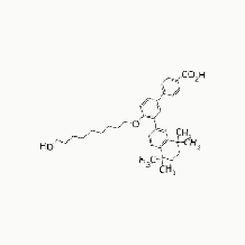 CC1(C)CCC(C)(C)c2cc(-c3cc(-c4ccc(C(=O)O)cc4)ccc3OCCCCCCCCCO)ccc21